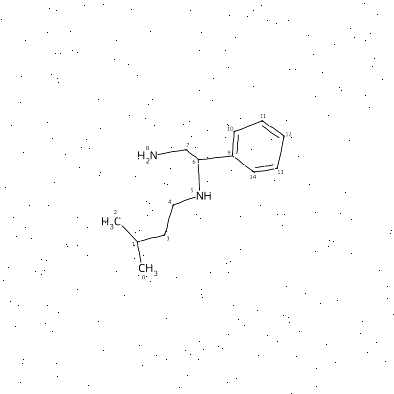 CC(C)CCNC(CN)c1ccccc1